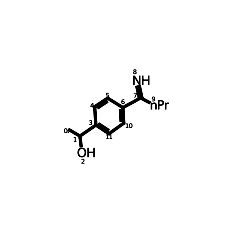 [CH2]C(O)c1ccc(C(=N)CCC)cc1